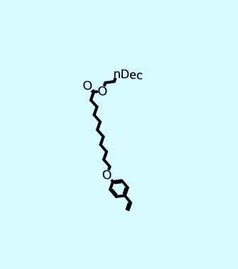 C=Cc1ccc(OCCCCCCCCCCC(=O)OCCCCCCCCCCCC)cc1